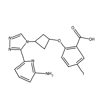 Nc1cccc(-c2nncn2C2CC(Oc3ccc(I)cc3C(=O)O)C2)n1